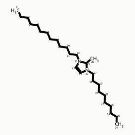 CCCCCCCCCCCCCN1C=CN(CCCCCCCCCC)C1C